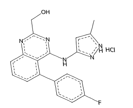 Cc1cc(Nc2nc(CO)nc3cccc(-c4ccc(F)cc4)c23)n[nH]1.Cl